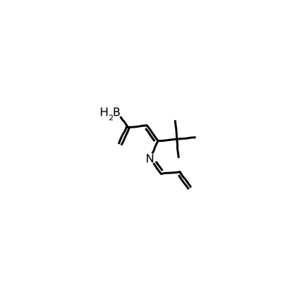 BC(=C)/C=C(\N=C/C=C)C(C)(C)C